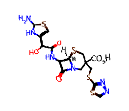 NC1NC(C(O)C(=O)NC2C(=O)N3CC(CSc4nncs4)(C(=O)O)CS[C@H]23)=CS1